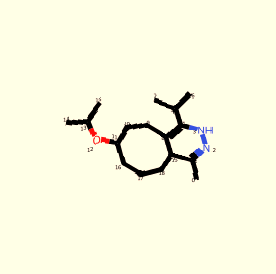 CC1=NNC(C(C)C)=C2CCC(OC(C)C)CCCC12